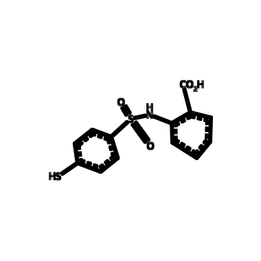 O=C(O)c1ccccc1NS(=O)(=O)c1ccc(S)cc1